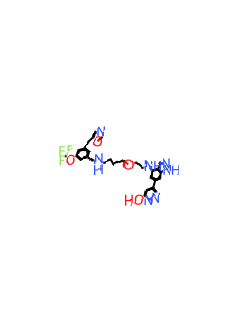 Oc1cc(-c2cc(NCCOCCCCNCc3cc(Cc4cnco4)cc(OC(F)(F)F)c3)c3cn[nH]c3c2)cnn1